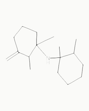 C=C1CCCC(C)(NC2(C)CCCCC2C)C1C